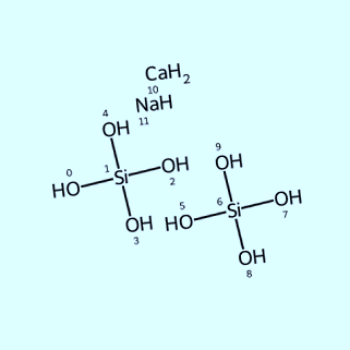 O[Si](O)(O)O.O[Si](O)(O)O.[CaH2].[NaH]